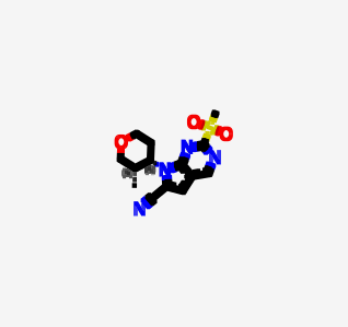 C[C@@H]1COCC[C@@H]1n1c(C#N)cc2cnc(S(C)(=O)=O)nc21